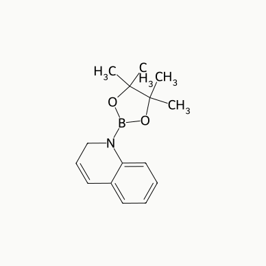 CC1(C)OB(N2CC=Cc3ccccc32)OC1(C)C